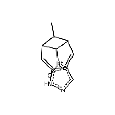 CC1C2C=c3cn[nH]c3=CC1C2[N+](=O)[O-]